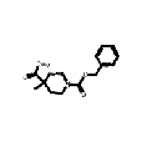 COC(=O)C1(C)CCN(C(=O)OCc2ccccc2)CC1